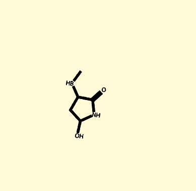 CBC1CC(O)NC1=O